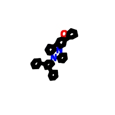 c1ccc(-c2cc(-c3ccccc3)cc(N3c4ccccc4-n4c5cc6c(cc5c5cccc3c54)oc3ccccc36)c2)cc1